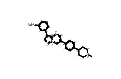 CSc1cccc(-c2cnn3cc(-c4ccc(C5CCN(C)CC5)cc4)cnc23)c1